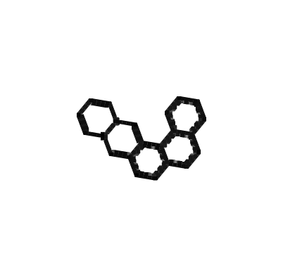 C1=CB2C=c3c(ccc4ccc5ccccc5c34)=CN2C=C1